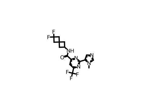 Cn1cncc1-c1nc(C(=O)NC2CC3(C2)CC(F)(F)C3)cc(C(F)(F)F)n1